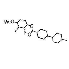 COC1CCC(OC(=O)C2CCC(C3CCC(C)CC3)CC2)C(F)C1F